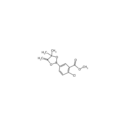 C=C1OB(c2ccc(Cl)c(C(=O)OC)c2)OC1(C)C